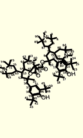 CN1C(C)(C)CC(C(CC(C)(Cc2cc(C(C)(C)C)c(O)c(C(C)(C)C)c2)OC(=O)CC(=O)OC(C)(Cc2cc(C(C)(C)C)c(O)c(C(C)(C)C)c2)CC(C2CC(C)(C)N(C)C(C)(C)C2)C2CC(C)(C)N(C)C(C)(C)C2)C2CC(C)(C)N(C)C(C)(C)C2)CC1(C)C